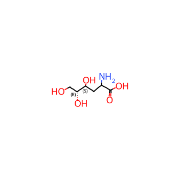 NC(C[C@H](O)[C@H](O)CO)C(=O)O